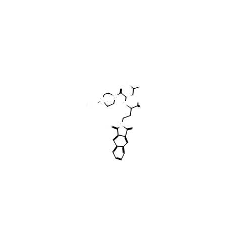 CC(C)C[C@@H](NC(CCN1C(=O)c2cc3ccccc3cc2C1=O)C(=O)O)C(=O)N1CCN(C)CC1